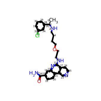 C[C@@H](NCCCCOCCNc1nc2cc(C(N)=O)ccc2c2cnccc12)c1cccc(Cl)c1